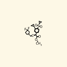 CCOC(=O)C(=C=C[C@H]1CCC(F)(F)C1)c1ccc(S(=O)(=O)C2CC2)c(C2CC2)c1